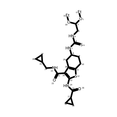 CCOC(CNC(=S)NC1CCc2sc(NC(=O)C3CC3)c(C(=O)NCC3CC3)c2C1)OCC